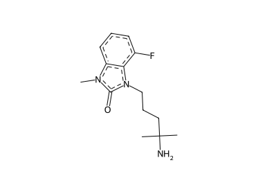 Cn1c(=O)n(CCCC(C)(C)N)c2c(F)cccc21